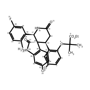 CCOC(=O)C(C)(C)Oc1ccc(Cl)cc1[C@@H]1CC(=O)N[C@H](c2cc(F)ccc2C)[C@@]12C(=O)Nc1cc(Cl)ccc12